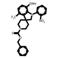 COc1ccc(C(F)(F)F)c2c1N(c1ccccc1[N+](=O)[O-])CC21CCN(C(=O)OCc2ccccc2)CC1